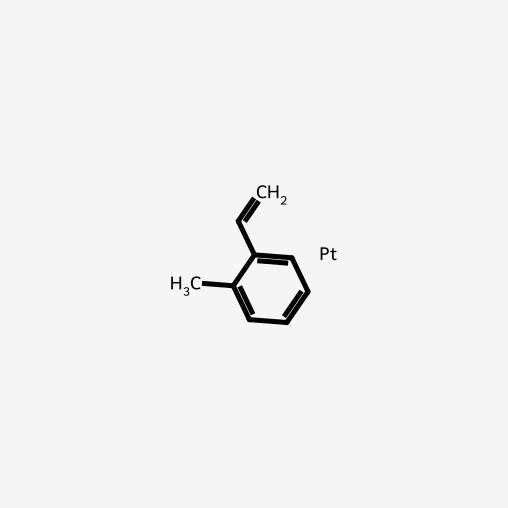 C=Cc1ccccc1C.[Pt]